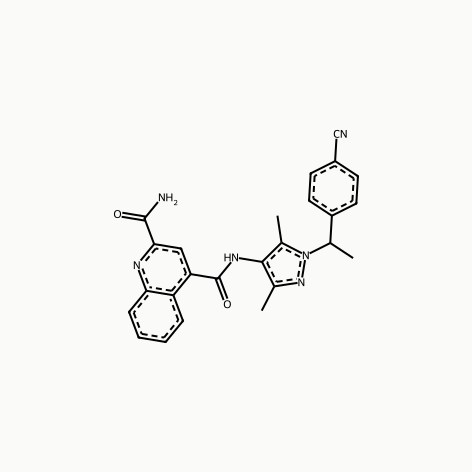 Cc1nn(C(C)c2ccc(C#N)cc2)c(C)c1NC(=O)c1cc(C(N)=O)nc2ccccc12